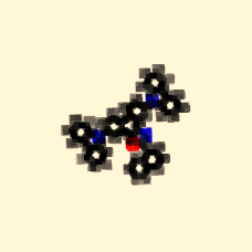 c1ccc2c(-c3nc4c5cc(-n6c7ccccc7c7ccccc76)ccc5c5ccc(-n6c7ccccc7c7ccccc76)cc5c4o3)cccc2c1